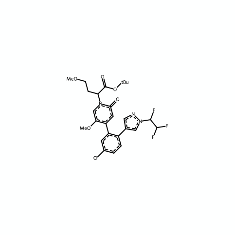 COCCC(C(=O)OC(C)(C)C)n1cc(OC)c(-c2cc(Cl)ccc2-c2cnn(C(F)C(F)F)c2)cc1=O